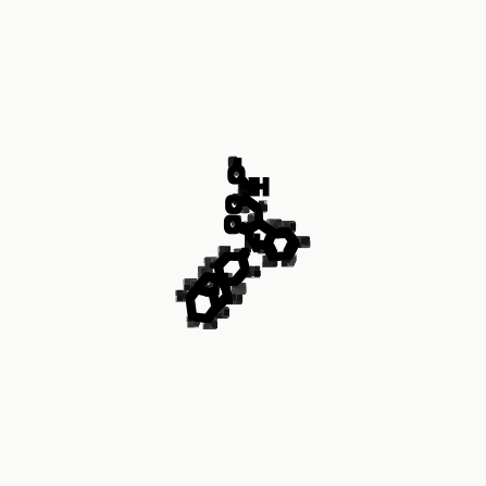 CONC(=O)CC1C(=O)N(C2CCN(C3C4CCCC3CCC4)CC2)c2ccccc21